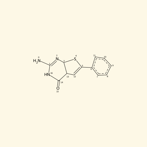 NC1=NC2SC(c3ccccc3)=CC2C(=O)N1